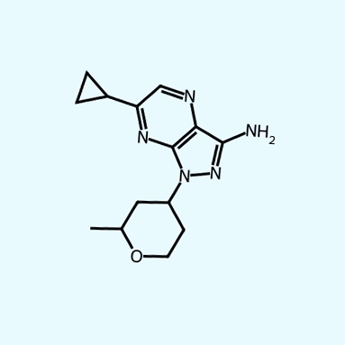 CC1CC(n2nc(N)c3ncc(C4CC4)nc32)CCO1